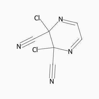 N#CC1(Cl)N=CC=NC1(Cl)C#N